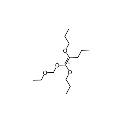 CCCO/C(CCC)=C(/OCCC)OCOCC